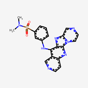 CN(C)S(=O)(=O)c1cccc(Nc2c3cnccc3nc3c2nc2cnccn23)c1